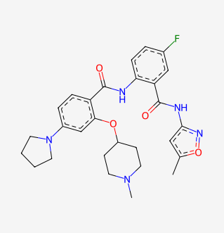 Cc1cc(NC(=O)c2cc(F)ccc2NC(=O)c2ccc(N3CCCC3)cc2OC2CCN(C)CC2)no1